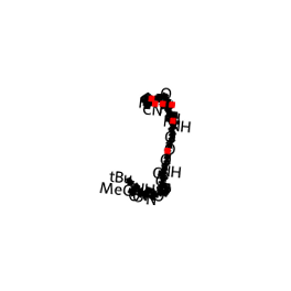 COC(=O)[C@H](CCC(C)(C)C)NC(=O)c1ccc(Oc2cccc(OCC(=O)NCCOCCOCCOCCNc3ncc(-c4ccc5c(n4)N(Cc4cccnc4C#N)C(C)(C)C5=O)cn3)c2)nc1